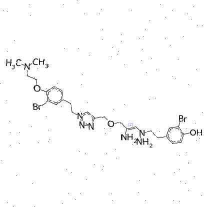 CN(C)CCOc1ccc(CCn2cc(COC/C(N)=C/N(N)CCc3ccc(O)c(Br)c3)nn2)cc1Br